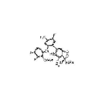 CNS(=O)(=O)c1c(C)[nH]c(-c2cc(F)c(C(F)(F)F)cc2Oc2ccc(F)c(F)c2OC)cc1=O